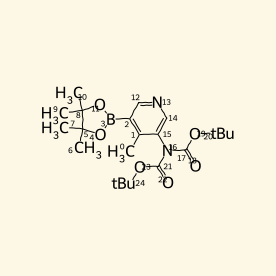 Cc1c(B2OC(C)(C)C(C)(C)O2)cncc1N(C(=O)OC(C)(C)C)C(=O)OC(C)(C)C